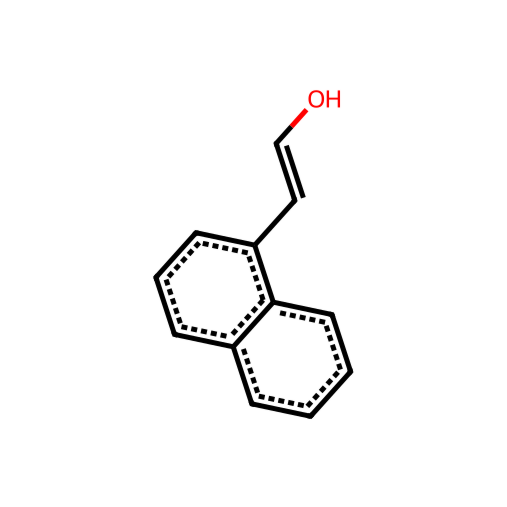 O/C=C/c1cccc2ccccc12